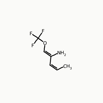 C/C=C\C(N)=COC(F)(F)F